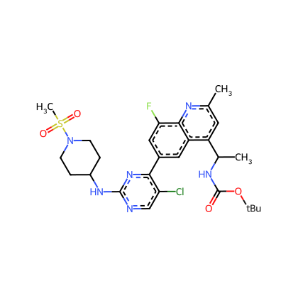 Cc1cc(C(C)NC(=O)OC(C)(C)C)c2cc(-c3nc(NC4CCN(S(C)(=O)=O)CC4)ncc3Cl)cc(F)c2n1